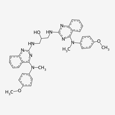 COc1ccc(N(C)c2nc(NCC(O)CNc3nc(N(C)c4ccc(OC)cc4)c4ccccc4n3)nc3ccccc23)cc1